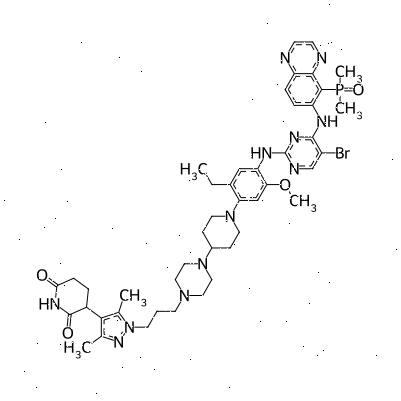 CCc1cc(Nc2ncc(Br)c(Nc3ccc4nccnc4c3P(C)(C)=O)n2)c(OC)cc1N1CCC(N2CCN(CCCn3nc(C)c(C4CCC(=O)NC4=O)c3C)CC2)CC1